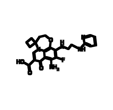 Nc1c(F)c(NCCNc2ccccn2)c2c3c1c(=O)c(C(=O)O)cn3C1(CCC1)CCO2